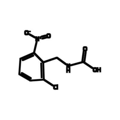 O=C(O)NCc1c(Cl)cccc1[N+](=O)[O-]